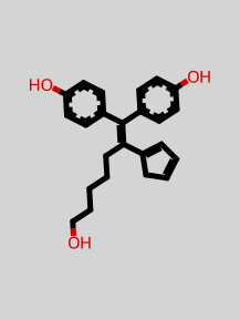 OCCCCCC(C1=CC=CC1)=C(c1ccc(O)cc1)c1ccc(O)cc1